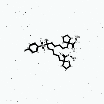 [C-]#[N+]C(CCCCCC1(C(=O)OCCCC)CCCC1)(CCCCCC1(C(=O)OCCCC)CCCC1)S(=O)(=O)c1ccc(C)cc1